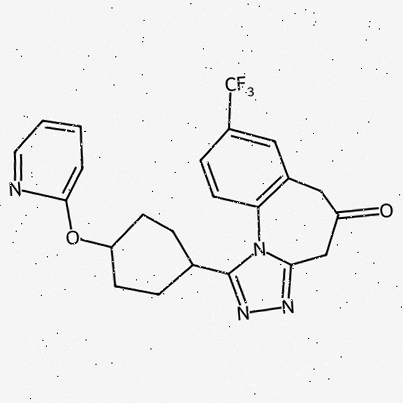 O=C1Cc2cc(C(F)(F)F)ccc2-n2c(nnc2C2CCC(Oc3ccccn3)CC2)C1